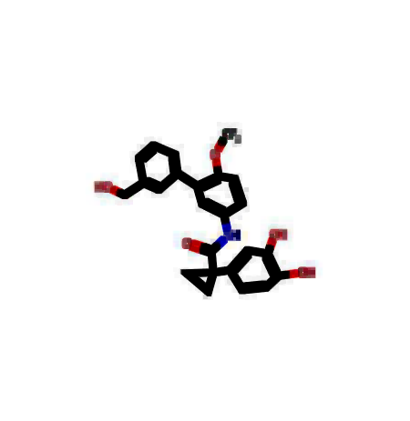 O=C(Nc1ccc(OC(F)(F)F)c(-c2cccc(CO)c2)c1)C1(c2ccc(O)c(O)c2)CC1